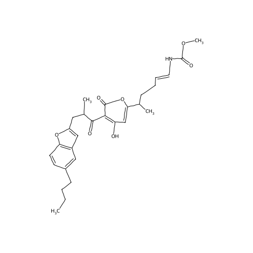 CCCCc1ccc2oc(CC(C)C(=O)c3c(O)cc(C(C)CC/C=C/NC(=O)OC)oc3=O)cc2c1